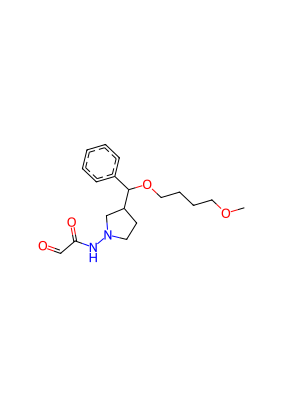 COCCCCOC(c1ccccc1)C1CCN(NC(=O)C=O)C1